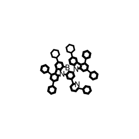 c1ccc(-c2cc(-c3ccccc3)c3c4cc(C5CCCCC5)cc5c4n(c3c2)-c2cc(-c3cccc(-c4ccccc4)n3)cc3c2B5c2cc(C4CCCCC4)cc4c5c(-c6ccccc6)cc(-c6ccccc6)cc5n-3c24)cc1